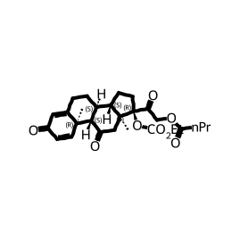 CCCC(=O)OCC(=O)[C@@]1(OC(=O)OCC)CC[C@H]2[C@@H]3CCC4=CC(=O)C=C[C@]4(C)[C@H]3C(=O)C[C@@]21C